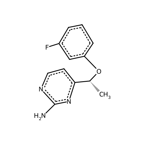 C[C@@H](Oc1cccc(F)c1)c1ccnc(N)n1